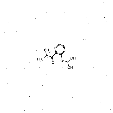 CC(C)C(=O)c1ccccc1SC(O)O